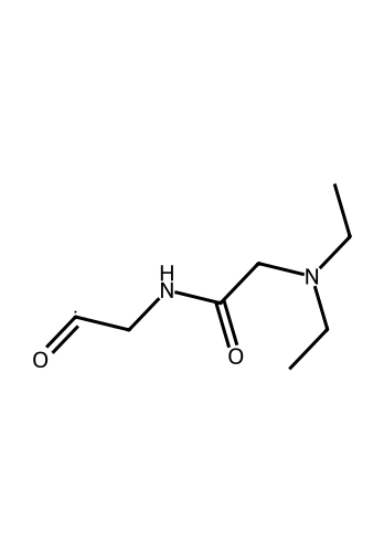 CCN(CC)CC(=O)NC[C]=O